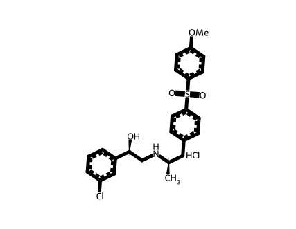 COc1ccc(S(=O)(=O)c2ccc(C[C@@H](C)NC[C@H](O)c3cccc(Cl)c3)cc2)cc1.Cl